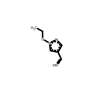 CCOn1cc(C=N)cn1